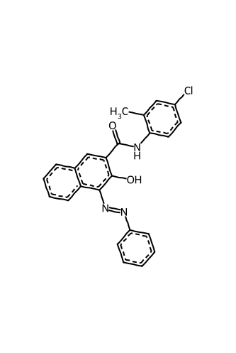 Cc1cc(Cl)ccc1NC(=O)c1cc2ccccc2c(/N=N/c2ccccc2)c1O